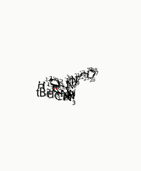 CC(C)(C)CC(C)(C)n1nnnc1C(c1ccccc1)N1CCN(CC=Cc2ccccc2)CC1